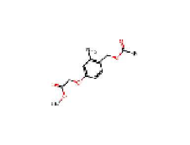 CC(C)C(=O)OCc1ccc(OCC(=O)OC(C)(C)C)cc1[N+](=O)[O-]